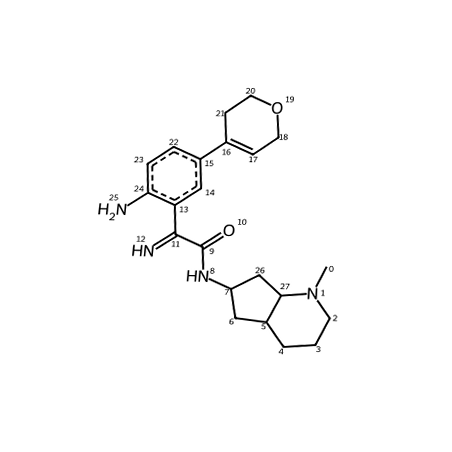 CN1CCCC2CC(NC(=O)C(=N)c3cc(C4=CCOCC4)ccc3N)CC21